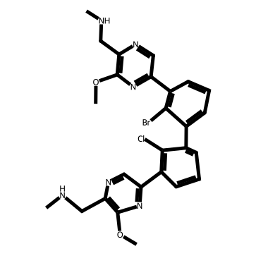 CNCc1ncc(-c2cccc(-c3cccc(-c4cnc(CNC)c(OC)n4)c3Br)c2Cl)nc1OC